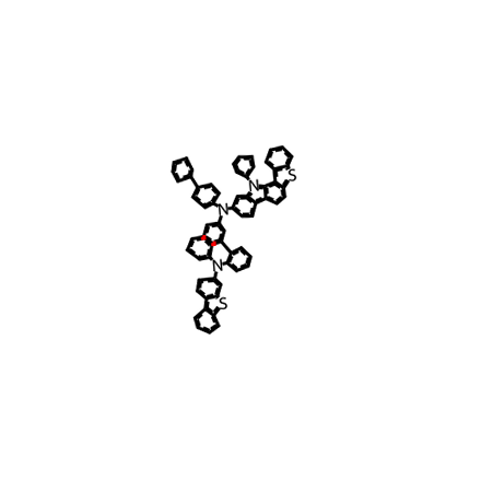 c1ccc(-c2ccc(N(c3cccc(-c4ccccc4N(c4ccccc4)c4ccc5c(c4)sc4ccccc45)c3)c3ccc4c5ccc6sc7ccccc7c6c5n(-c5ccccc5)c4c3)cc2)cc1